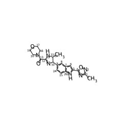 Cc1noc(-c2cc3cc(C4N=C(C(=O)N5CCOCC5)NC4C)ccc3[nH]2)n1